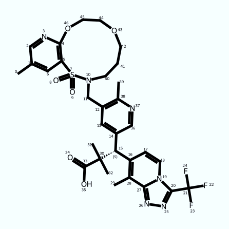 Cc1cnc2c(c1)S(=O)(=O)N(Cc1cc([C@H](c3ccn4c(C(F)(F)F)nnc4c3C)C(C)(C)C(=O)O)cnc1C)CCCOCCO2